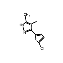 Cc1[nH]nc(-c2ccc(Cl)s2)c1I